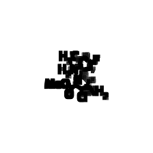 COC(=O)c1nc(-c2cc(F)cc(C)c2N)cc(N)c1Cl